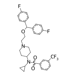 O=S(=O)(c1cccc(C(F)(F)F)c1)N(C1CC1)C1CCN(CCOC(c2ccc(F)cc2)c2ccc(F)cc2)CC1